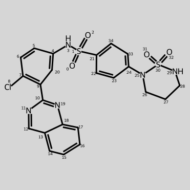 O=S(=O)(Nc1ccc(Cl)c(-c2ncc3ccccc3n2)c1)c1ccc(N2CCCNS2(=O)=O)cc1